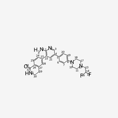 Nc1ncc(-c2ccc(N3CCN(CC(F)F)CC3)cc2)cc1-c1ccc2c(c1)CCNC2=O